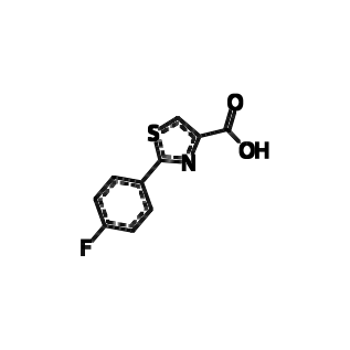 O=C(O)c1csc(-c2ccc(F)cc2)n1